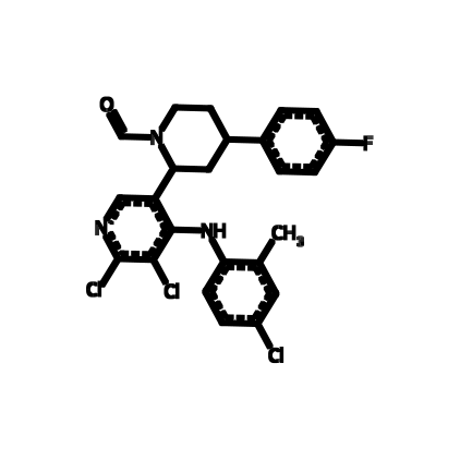 Cc1cc(Cl)ccc1Nc1c(C2CC(c3ccc(F)cc3)CCN2C=O)cnc(Cl)c1Cl